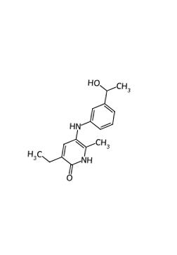 CCc1cc(Nc2cccc(C(C)O)c2)c(C)[nH]c1=O